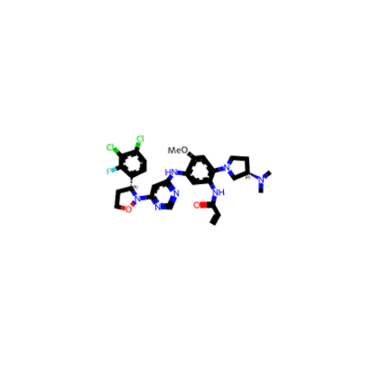 C=CC(=O)Nc1cc(Nc2cc(N3OCC[C@@H]3c3ccc(Cl)c(Cl)c3F)ncn2)c(OC)cc1N1CC[C@@H](N(C)C)C1